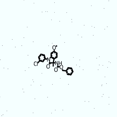 COc1ccc2c(c1)N(c1cccc(Cl)c1)C(=O)C2(C)NC(=O)OCc1ccccc1